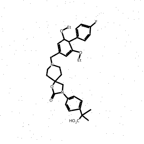 CCOC1=CC(CN2CCC3(CC2)CN(c2ccc(C(C)(C)C(=O)O)cc2)C(=O)O3)=CC(OCC)C1c1ccc(F)cc1